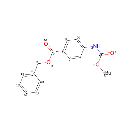 CC(C)(C)OC(=O)Nc1ccc(C(=O)OCc2ccccc2)cc1